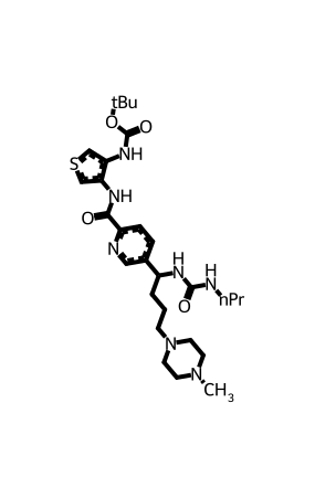 CCCNC(=O)NC(CCCN1CCN(C)CC1)c1ccc(C(=O)Nc2cscc2NC(=O)OC(C)(C)C)nc1